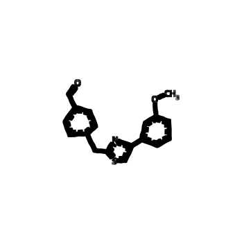 COc1cccc(-c2csc(Cc3ccc(C=O)cc3)n2)c1